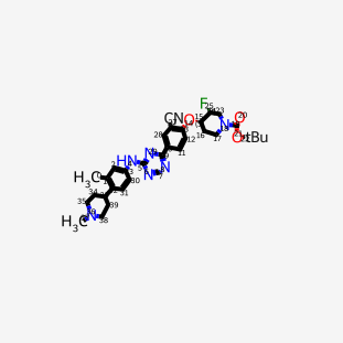 Cc1cc(Nc2ncnc(-c3ccc(O[C@H]4CCN(C(=O)OC(C)(C)C)C[C@H]4F)c(C#N)c3)n2)ccc1C1CCN(C)CC1